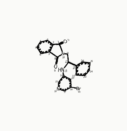 O=C1c2ccccc2C(=O)N1CC(Nc1cncc(Br)c1)c1ccccc1